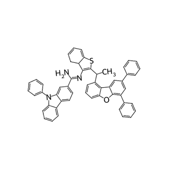 CC(C1=C(/N=C(\N)c2ccc3c4ccccc4n(-c4ccccc4)c3c2)C2CC=CC=C2S1)c1cccc2oc3c(-c4ccccc4)cc(-c4ccccc4)cc3c12